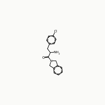 NC(Cc1ccc(Cl)cc1)C(=O)N1Cc2ccccc2C1